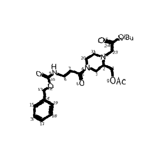 CC(=O)OCC1CN(C(=O)CCNC(=O)OCc2ccccc2)CCN1CC(=O)OCC(C)C